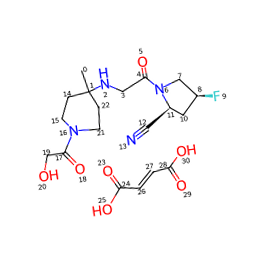 CC1(NCC(=O)N2C[C@@H](F)C[C@H]2C#N)CCN(C(=O)CO)CC1.O=C(O)C=CC(=O)O